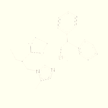 BCC(c1ccccc1)c1ccccc1.CCC(Cn1cncc1C)C1OCCO1